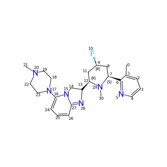 Cc1cccnc1[C@@H]1C[C@H](F)C[C@H](C2CN3C(N4CCN(C)CC4)=CC=CC3=N2)N1C